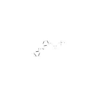 COC(CSc1cc(C(=O)Nc2cc(F)c(F)c(F)c2)ccc1Cl)CC(C)(O)C=O